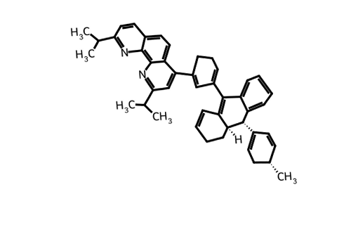 CC(C)c1ccc2ccc3c(C4=CC(C5=C6C=CCC[C@@H]6[C@@H](C6=CC[C@@H](C)C=C6)c6ccccc65)=CCC4)cc(C(C)C)nc3c2n1